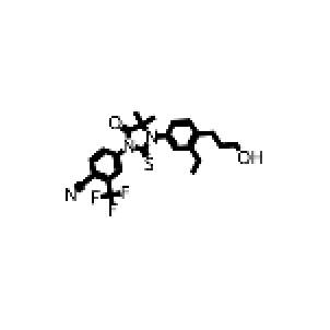 CCc1cc(N2C(=S)N(c3ccc(C#N)c(C(F)(F)F)c3)C(=O)C2(C)C)ccc1CCCO